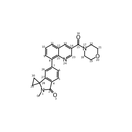 CN1C(=O)c2ccc(-c3cccc4cc(C(=O)N5CCOCC5)cnc34)cc2C12CC2